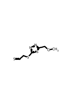 COCc1nnc(SC[C]=S)s1